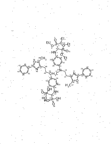 CCOP(=O)(OCC)C(Nc1ccc(N(C)CCc2nc(-c3ccccc3)oc2C)cn1)P(=O)(OCC)OCC.Cc1oc(-c2ccccc2)nc1CCOc1ccc(NC(P(=O)(O)O)P(=O)(O)O)nc1